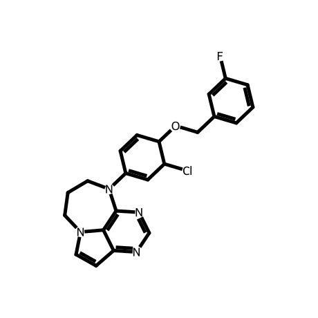 Fc1cccc(COC2C=CC(N3CCCn4ccc5ncnc3c54)=CC2Cl)c1